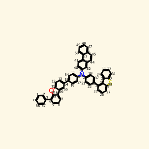 c1ccc(-c2cccc3c2oc2ccc(-c4ccc(N(c5ccc(-c6cccc7sc8ccccc8c67)cc5)c5ccc6c(ccc7ccccc76)c5)cc4)cc23)cc1